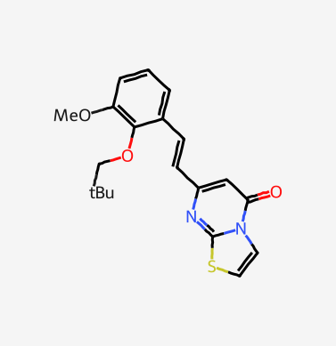 COc1cccc(C=Cc2cc(=O)n3ccsc3n2)c1OCC(C)(C)C